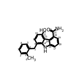 Cc1ccccc1Cc1ccc(O)c2c1[nH]c1cccc(C(N)=O)c12